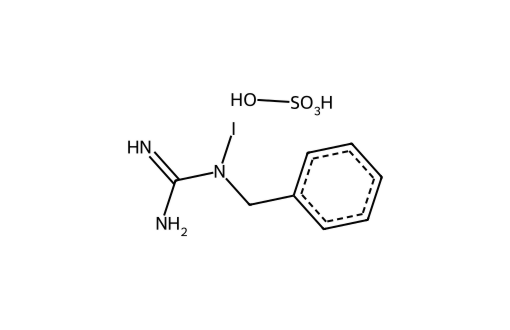 N=C(N)N(I)Cc1ccccc1.O=S(=O)(O)O